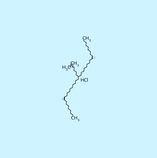 CCCCCCCC/C=C\CCCCCCCCCC(CCCCCCCC/C=C\CCCCCCCC)CCCCN(C)C.Cl